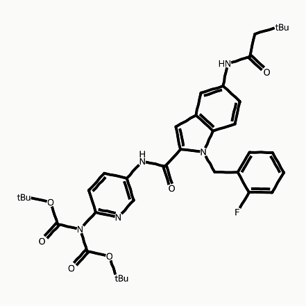 CC(C)(C)CC(=O)Nc1ccc2c(c1)cc(C(=O)Nc1ccc(N(C(=O)OC(C)(C)C)C(=O)OC(C)(C)C)nc1)n2Cc1ccccc1F